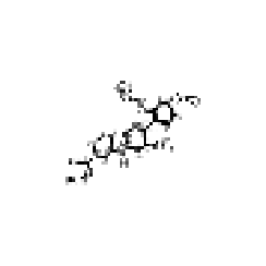 CCOCOc1cc(C=O)ccc1-c1nnc(NC2CCCN(C(=O)OC(C)(C)C)C2)cc1C(F)(F)F